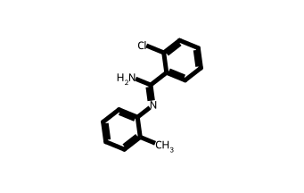 Cc1ccccc1N=C(N)c1ccccc1Cl